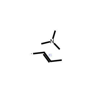 CN(C)C.[CH2]/C=C/C